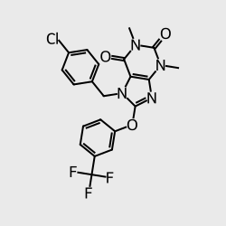 Cn1c(=O)c2c(nc(Oc3cccc(C(F)(F)F)c3)n2Cc2ccc(Cl)cc2)n(C)c1=O